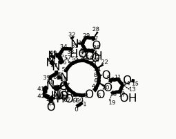 CC[C@H]1OC(=O)[C@H](C)[C@@H](O[C@H]2C[C@@](C)(OC)[C@@H](O)[C@H](C)O2)[C@H](C)[C@@H](O[C@@H]2O[C@H](C)C[C@H](N(C)CCc3cn(CCn4ccc(=O)[nH]c4=O)nn3)[C@H]2O)[C@](C)(O)C[C@@H](C)CN(C)[C@H](C)[C@@H](O)[C@]1(C)O